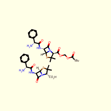 CC(C)(C)C(=O)OCOC(=O)[C@@H]1N2C(=O)[C@@H](NC(=O)[C@H](N)c3ccccc3)[C@H]2SC1(C)C.CC1(C)S[C@@H]2[C@H](NC(=O)[C@H](N)c3ccccc3)C(=O)N2[C@H]1C(=O)O